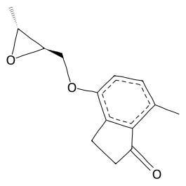 Cc1ccc(OC[C@H]2O[C@@H]2C)c2c1C(=O)CC2